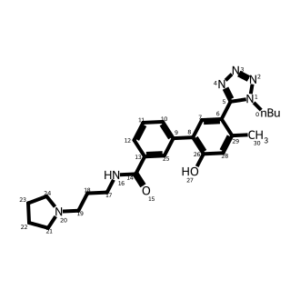 CCCCn1nnnc1-c1cc(-c2cccc(C(=O)NCCCN3CCCC3)c2)c(O)cc1C